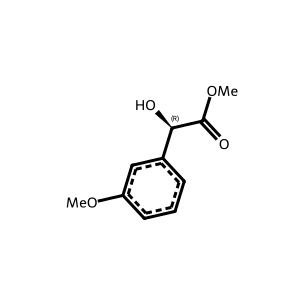 COC(=O)[C@H](O)c1cccc(OC)c1